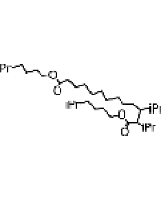 CC(C)CCCCOC(=O)CCCCCCCCCC(C(C)C)C(C(=O)OCCCCC(C)C)C(C)C